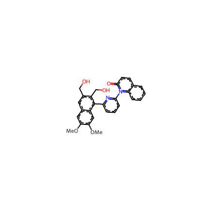 COc1cc2cc(CO)c(CO)c(-c3cccc(-n4c(=O)ccc5ccccc54)n3)c2cc1OC